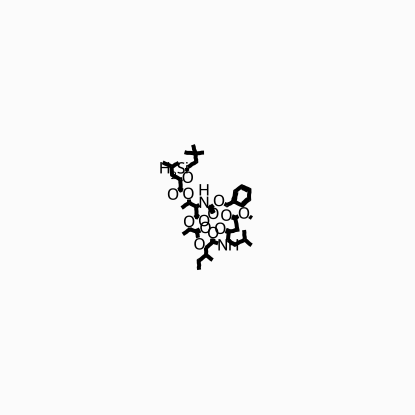 CCC(C)C(OC(=O)C(C)OC(=O)C(NC(=O)OCc1ccccc1)C(C)OC(=O)C(CC(C)C)O[SiH2]CC(C)(C)C)C(=O)NC(CC(C)C)C(=O)CC(=O)OC